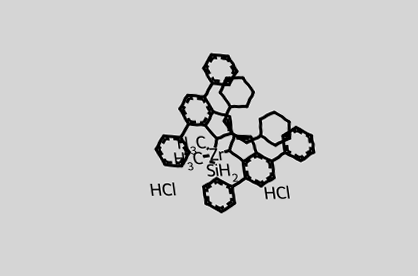 Cl.Cl.[CH3][Zr]([CH3])(=[SiH2])([CH]1C(CC2CCCCC2)=Cc2c(-c3ccccc3)ccc(-c3ccccc3)c21)[CH]1C(CC2CCCCC2)=Cc2c(-c3ccccc3)ccc(-c3ccccc3)c21